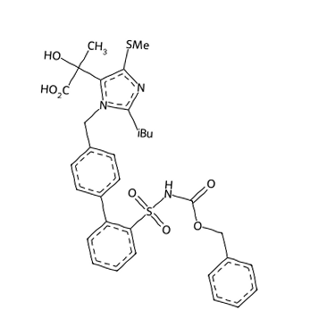 CCC(C)c1nc(SC)c(C(C)(O)C(=O)O)n1Cc1ccc(-c2ccccc2S(=O)(=O)NC(=O)OCc2ccccc2)cc1